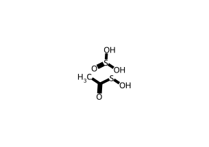 CC(=O)SO.O=S(O)O